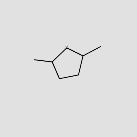 CC1[C]C(C)CC1